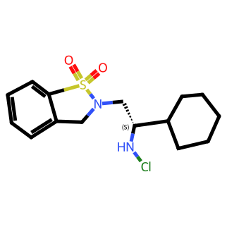 O=S1(=O)c2ccccc2CN1C[C@@H](NCl)C1CCCCC1